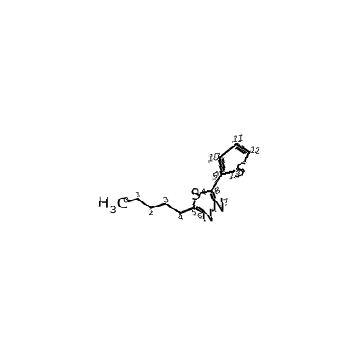 CCCCCc1nnc(-c2cccs2)s1